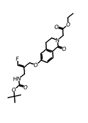 CCOC(=O)CN1CCc2cc(OC/C(=C\F)CNC(=O)OC(C)(C)C)ccc2C1=O